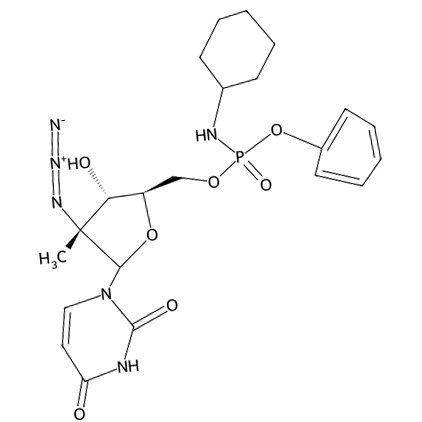 C[C@]1(N=[N+]=[N-])C(n2ccc(=O)[nH]c2=O)O[C@H](COP(=O)(NC2CCCCC2)Oc2ccccc2)[C@H]1O